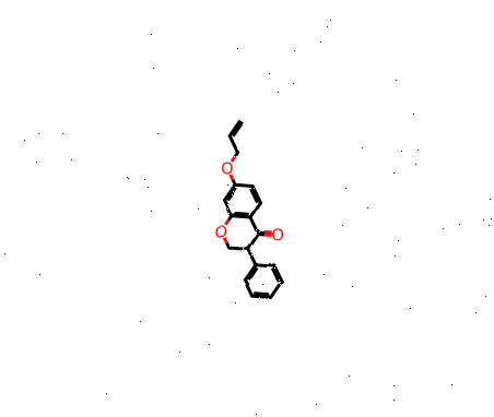 C=CCOc1ccc2c(c1)OCC(c1ccccc1)C2=O